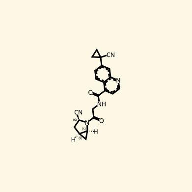 N#C[C@@H]1C[C@@H]2C[C@@H]2N1C(=O)CNC(=O)c1ccnc2cc(C3(C#N)CC3)ccc12